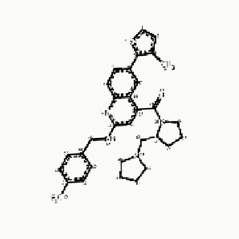 Cc1ccsc1-c1ccc2nc(NCc3ccc(C(F)(F)F)cc3)cc(C(=O)N3CCC[C@H]3CN3CCCC3)c2c1